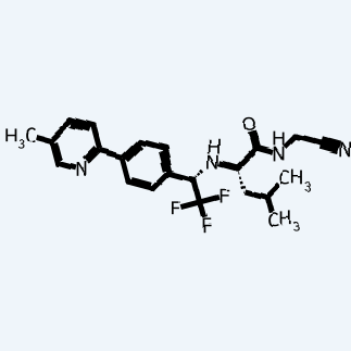 Cc1ccc(-c2ccc([C@H](N[C@@H](CC(C)C)C(=O)NCC#N)C(F)(F)F)cc2)nc1